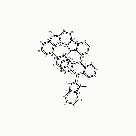 Cc1c(-c2c3ccccc3c(-c3cccc4c3oc3c4ccc4oc5cccc(-c6ccccc6)c5c43)c3ccccc23)oc2ccccc12